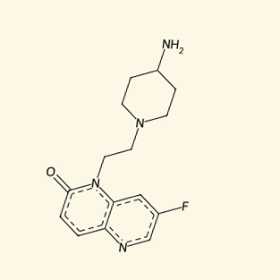 NC1CCN(CCn2c(=O)ccc3ncc(F)cc32)CC1